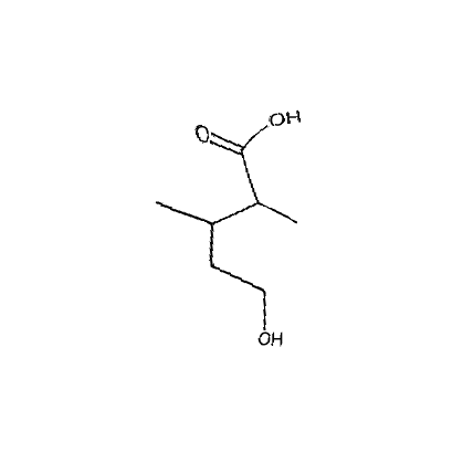 CC(CCO)C(C)C(=O)O